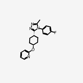 Cc1nnc([C@H]2CC[C@H](Oc3ccccn3)CC2)n1-c1ccc(F)cc1